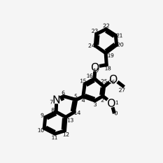 COc1cc(-c2cnc3ccccc3c2)cc(OCc2ccccc2)c1OC